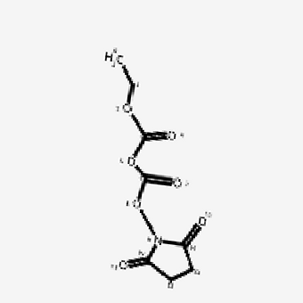 C[CH]OC(=O)OC(=O)ON1C(=O)CCC1=O